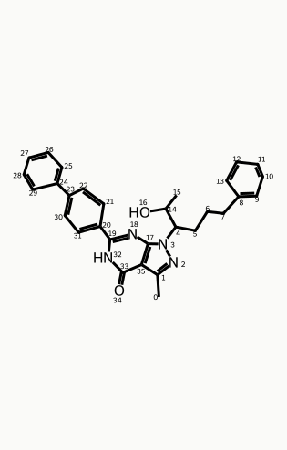 Cc1nn(C(CCCc2ccccc2)C(C)O)c2nc(-c3ccc(-c4ccccc4)cc3)[nH]c(=O)c12